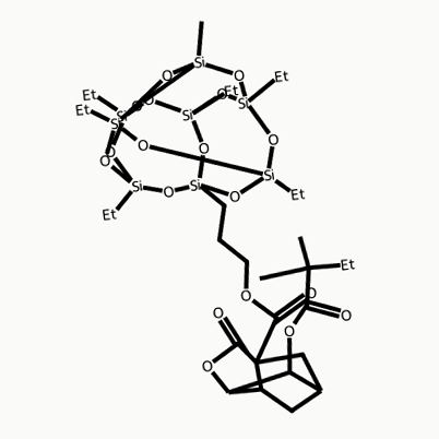 CCC(C)(C)C(=O)OC1C2CC3C1OC(=O)C3(C(=O)OCCC[Si]13O[Si]4(CC)O[Si]5(CC)O[Si]6(C)O[Si](CC)(O4)O[Si](CC)(O[Si](CC)(O6)O[Si](CC)(O5)O1)O3)C2